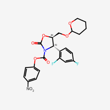 O=C(Oc1ccc([N+](=O)[O-])cc1)N1C(=O)O[C@@H](COC2CCCCO2)[C@@H]1c1ccc(F)cc1F